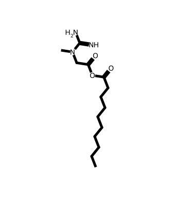 CCCCCCCCCC(=O)OC(=O)CN(C)C(=N)N